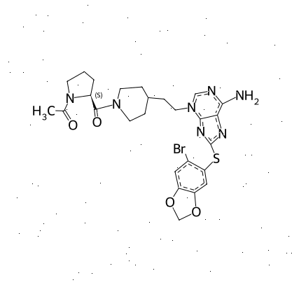 CC(=O)N1CCC[C@H]1C(=O)N1CCC(CCn2cnc(N)c3nc(Sc4cc5c(cc4Br)OCO5)nc2-3)CC1